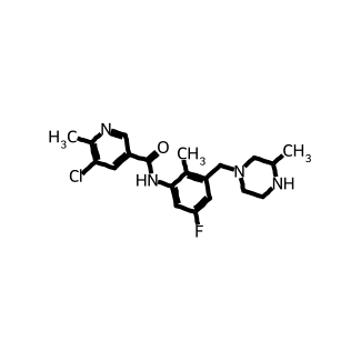 Cc1ncc(C(=O)Nc2cc(F)cc(CN3CCNC(C)C3)c2C)cc1Cl